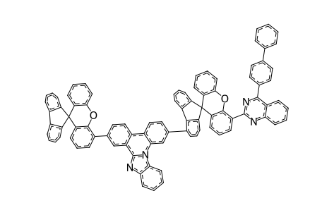 c1ccc(-c2ccc(-c3nc(-c4cccc5c4Oc4ccccc4C54c5ccccc5-c5c(-c6ccc7c8ccc(-c9cccc%10c9Oc9ccccc9C%109c%10ccccc%10-c%10ccccc%109)cc8c8nc9ccccc9n8c7c6)cccc54)nc4ccccc34)cc2)cc1